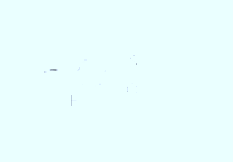 C#Cc1ccc(C2OCC(C(C)(C)C)CS2)cc1F